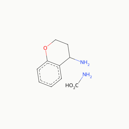 NC(=O)O.NC1CCOc2ccccc21